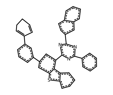 C1=CC(c2cccc(-c3cc(-c4nc(-c5ccccc5)nc(-c5ccc6ccccc6c5)n4)c4c(c3)sc3ccccc34)c2)=CCC1